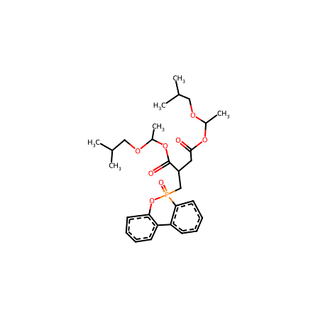 CC(C)COC(C)OC(=O)CC(CP1(=O)Oc2ccccc2-c2ccccc21)C(=O)OC(C)OCC(C)C